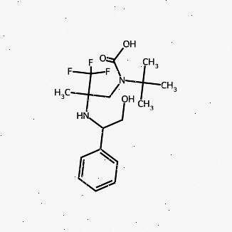 CC(C)(C)N(CC(C)(NC(CO)c1ccccc1)C(F)(F)F)C(=O)O